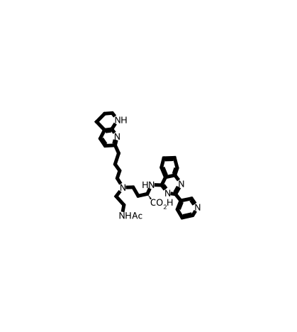 CC(=O)NCCN(CCCCc1ccc2c(n1)NCCC2)CC[C@H](Nc1nc(-c2cccnc2)nc2ccccc12)C(=O)O